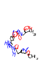 CCC(CO)CNC(=O)O[C@@H]1CC[C@H](c2cc(NC(=O)Cc3ccc(OC)nc3)n[nH]2)C1